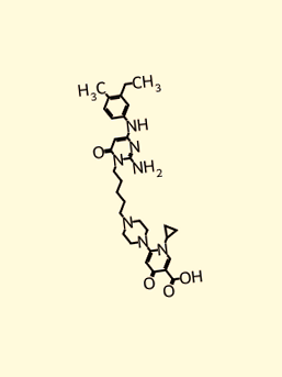 CCc1cc(Nc2cc(=O)n(CCCCCN3CCN(c4cc(=O)c(C(=O)O)cn4C4CC4)CC3)c(N)n2)ccc1C